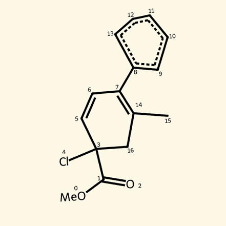 COC(=O)C1(Cl)C=CC(c2ccccc2)=C(C)C1